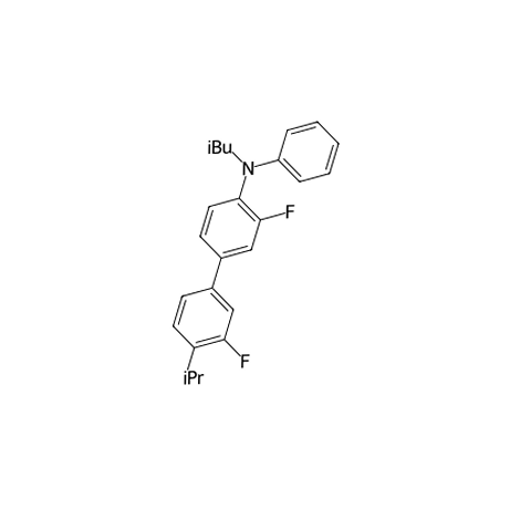 CCC(C)N(c1ccccc1)c1ccc(-c2ccc(C(C)C)c(F)c2)cc1F